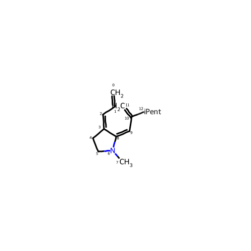 C=C/C=C1/CCN(C)/C1=C/C(=C)C(C)CCC